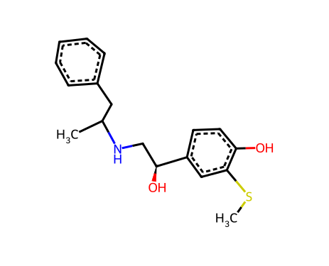 CSc1cc([C@@H](O)CNC(C)Cc2ccccc2)ccc1O